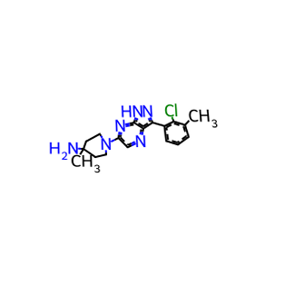 Cc1cccc(-c2n[nH]c3nc(N4CCC(C)(N)CC4)cnc23)c1Cl